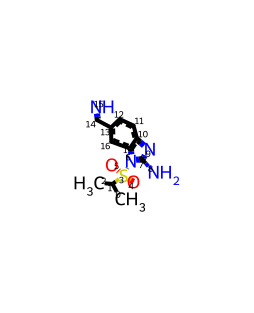 CC(C)S(=O)(=O)n1c(N)nc2ccc(C=N)cc21